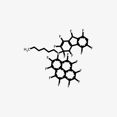 CCCCCCN(c1c(F)c(F)c2c(F)c(F)c3c(F)c(F)c(F)c4c(F)c(F)c1c2c34)C1(F)C(F)=C(F)C2=C(c3c(F)c(F)[c]c(F)c3C2F)C1F